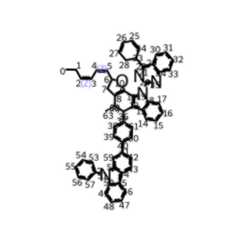 CC/C=C\C=C/C1CC2=C(O1)c1c(c3ccccc3n1-c1nc(C3C=CC=CC3)c3ccccc3n1)C(c1ccc(-c3ccc4c5ccccc5n(-c5ccccc5)c4c3)cc1)[C@H]2C